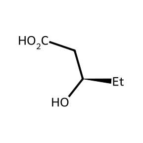 CC[C@@H](O)CC(=O)O